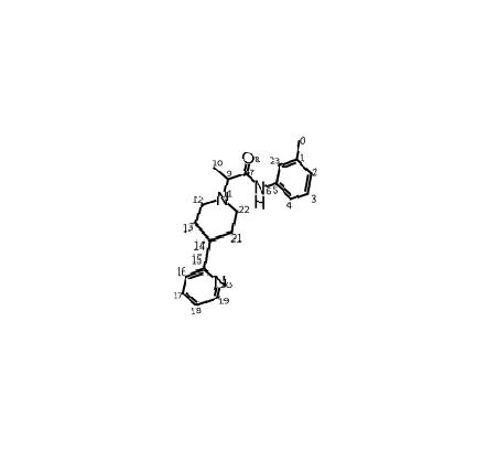 Cc1cccc(NC(=O)C(C)N2CCC(c3ccccn3)CC2)c1